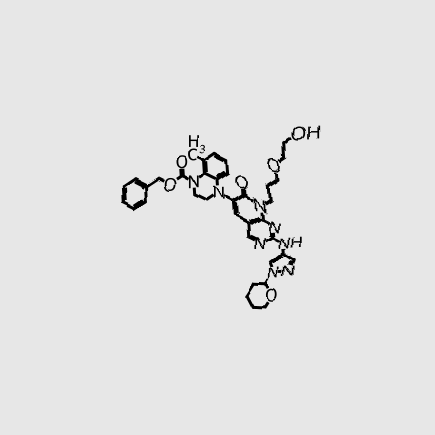 Cc1cccc2c1N(C(=O)OCc1ccccc1)CCN2c1cc2cnc(Nc3cnn(C4CCCCO4)c3)nc2n(CCCOCCO)c1=O